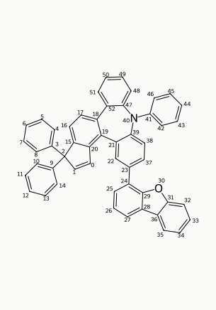 C1=CC(c2ccccc2)(c2ccccc2)c2ccc3c(c21)-c1cc(-c2cccc4c2oc2ccccc24)ccc1N(c1ccccc1)c1ccccc1-3